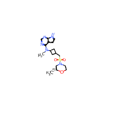 C[C@@H]1CN(S(=O)(=O)CC2CC(N(C)c3ncnc4[nH]ccc34)C2)CCO1